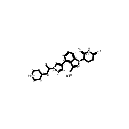 Cc1nn(C2CCC(=O)NC2=O)c2cccc(-c3cnn(C(C)CC4CCNCC4)c3)c12.Cl